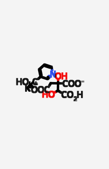 O=C(O)c1cccnc1.O=C([O-])CC(O)(C(=O)[O-])C(O)C(=O)O.[K+].[K+]